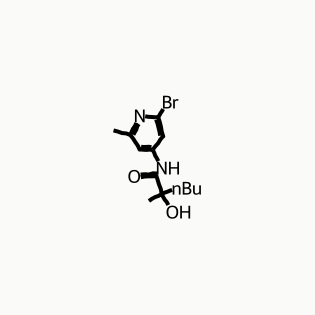 CCCCC(C)(O)C(=O)Nc1cc(C)nc(Br)c1